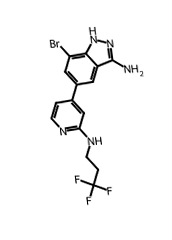 Nc1n[nH]c2c(Br)cc(-c3ccnc(NCCC(F)(F)F)c3)cc12